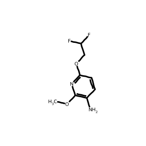 COc1nc(OCC(F)F)ccc1N